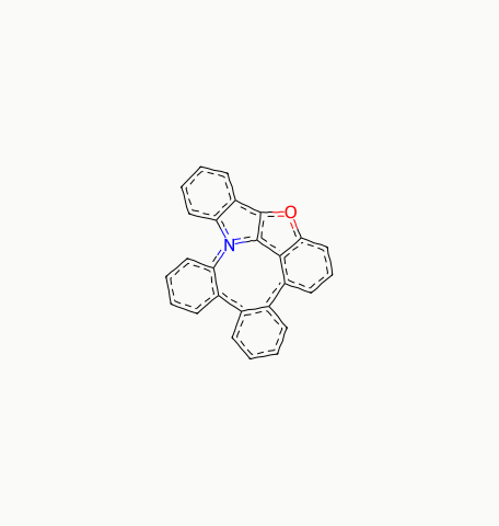 c1ccc2c(c1)c1cccc3oc4c5ccccc5n(c5ccccc25)c4c31